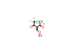 CCO/C=C(\C(=O)C(F)(F)F)C(=O)C(F)(F)Cl